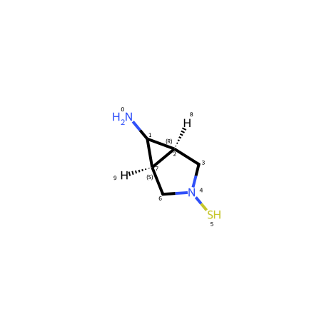 NC1[C@H]2CN(S)C[C@@H]12